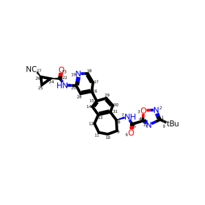 CC(C)(C)c1noc(C(=O)N[C@H]2CCCCc3cc(-c4ccnc(NC(=O)[C@H]5C[C@H]5C#N)c4)ccc32)n1